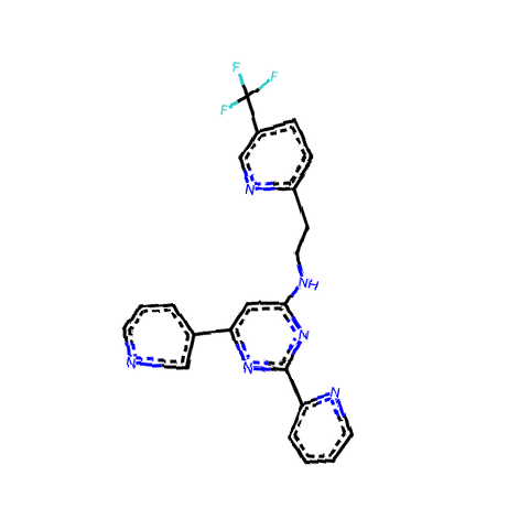 FC(F)(F)c1ccc(CCNc2cc(-c3cccnc3)nc(-c3ccccn3)n2)nc1